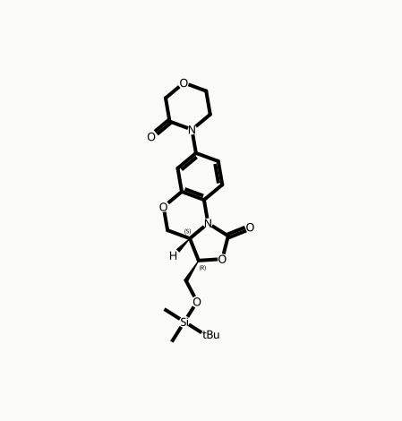 CC(C)(C)[Si](C)(C)OC[C@@H]1OC(=O)N2c3ccc(N4CCOCC4=O)cc3OC[C@@H]12